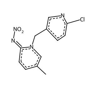 Cc1ccc(=N[N+](=O)[O-])n(Cc2ccc(Cl)nc2)c1